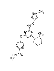 CNC(=O)c1ccc(Oc2cc(C3CCCCC3C)nc(NSc3cnn(C)c3)n2)cn1